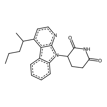 CCCC(C)c1ccnc2c1c1ccccc1n2C1CCC(=O)NC1=O